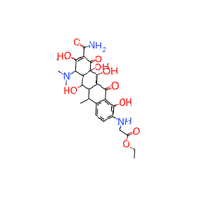 CCOC(=O)CNc1ccc2c(c1O)C(=O)C1=C(O)C3(O)C(=O)C(C(N)=O)=C(O)C(N(C)C)C3C(O)C1C2C